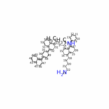 CC(CCC(C(C)Nc1ccccc1)C1CCC(CCCCCN)C2CCC=CC21)C1CCC(C2C=CC(C3=C4C=CC=CC4CC=C3)=CC2)C2C=CCCC21